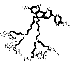 Cc1cnc2c(c1)C(CCCCCCN(CCCN(C)C)CCCN(C)C)(CCCCCCN(CCCN(C)C)CCCN(C)C)c1cc(-c3cnc(C)cn3)cnc1-2